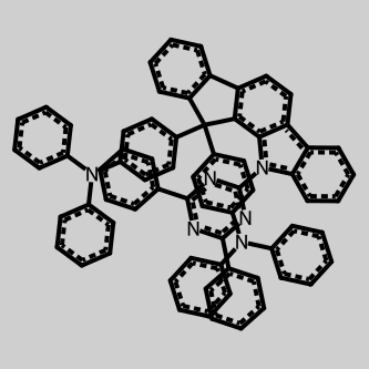 c1ccc(-c2nc(-c3ccccc3)nc(-n3c4ccccc4c4ccc5c(c43)C(c3ccc(N(c4ccccc4)c4ccccc4)cc3)(c3ccc(N(c4ccccc4)c4ccccc4)cc3)c3ccccc3-5)n2)cc1